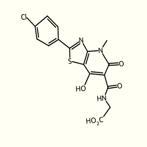 Cn1c(=O)c(C(=O)NCC(=O)O)c(O)c2sc(-c3ccc(Cl)cc3)nc21